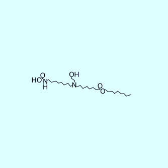 CCCCCCCCCOC(=O)CCCCCCCN(CCO)CCCCCCCCNC(=O)O